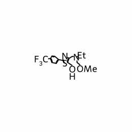 CCN(CCOC)Cc1nc(-c2ccc(C(F)(F)F)cc2)sc1CO